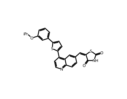 CC(C)Oc1cccc(-c2ccc(-c3ccnc4ccc(/C=C5/SC(=O)NC5=O)cc34)s2)c1